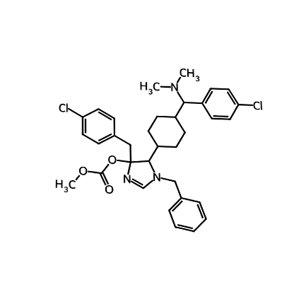 COC(=O)OC1(Cc2ccc(Cl)cc2)N=CN(Cc2ccccc2)C1C1CCC(C(c2ccc(Cl)cc2)N(C)C)CC1